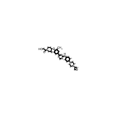 Cc1cc(-c2ncnc(Nc3ccc(N4CCN(C5COC5)CC4)cc3)n2)ccc1O[C@H]1CCN(C(=O)CO)C[C@H]1F